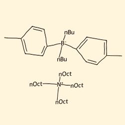 CCCCCCCC[N+](CCCCCCCC)(CCCCCCCC)CCCCCCCC.CCCC[B-](CCCC)(c1ccc(C)cc1)c1ccc(C)cc1